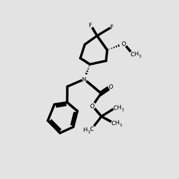 CO[C@@H]1C[C@H](N(Cc2ccccc2)C(=O)OC(C)(C)C)CCC1(F)F